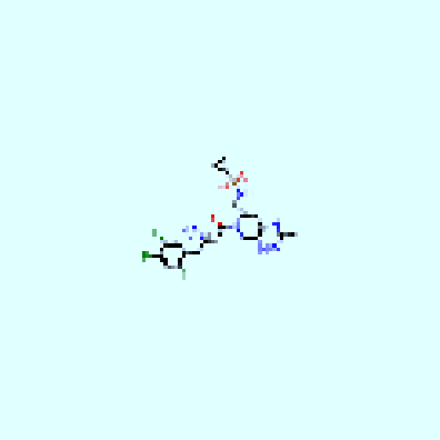 Cc1nnc2c(n1)C[C@@H](CNS(=O)(=O)C1CC1)N(C(=O)C[C@H](N)Cc1cc(F)c(F)cc1F)C2